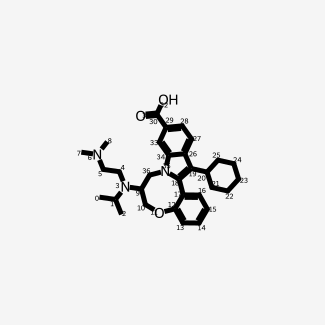 CC(C)N(CCN(C)C)C1COc2ccccc2-c2c(C3CCCCC3)c3ccc(C(=O)O)cc3n2C1